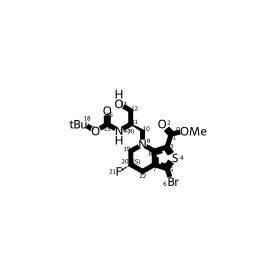 COC(=O)c1sc(Br)c2c1N(C[C@H](CO)NC(=O)OC(C)(C)C)C[C@@H](F)C2